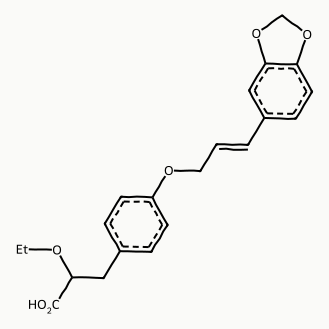 CCOC(Cc1ccc(OCC=Cc2ccc3c(c2)OCO3)cc1)C(=O)O